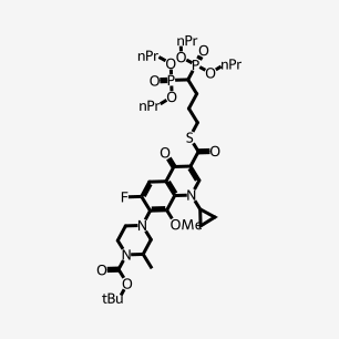 CCCOP(=O)(OCCC)C(CCCSC(=O)c1cn(C2CC2)c2c(OC)c(N3CCN(C(=O)OC(C)(C)C)C(C)C3)c(F)cc2c1=O)P(=O)(OCCC)OCCC